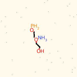 N.OCCOCCOP